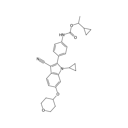 CC(OC(=O)Nc1ccc(-c2c(C#N)c3ccc(OC4CCOCC4)cc3n2C2CC2)cc1)C1CC1